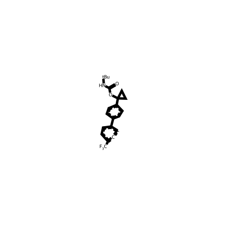 CC(C)(C)NC(=O)OC1(c2ccc(-c3ccc(C(F)(F)F)cc3)cc2)CC1